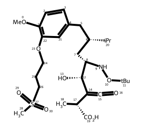 COc1ccc(C[C@@H](C[C@H](NOC(C)(C)C)[C@@H](O)C(=C=O)[C@@H](C)C(=O)O)C(C)C)cc1OCCCS(C)(=O)=O